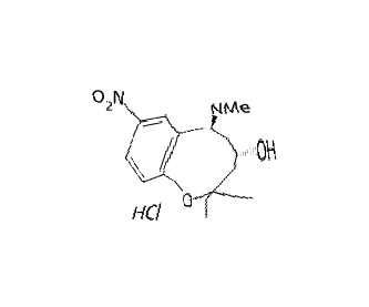 CN[C@@H]1c2cc([N+](=O)[O-])ccc2OC(C)(C)[C@H]1O.Cl